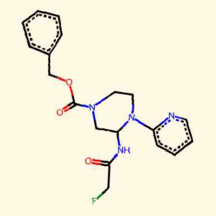 O=C(CF)NC1CN(C(=O)OCc2ccccc2)CCN1c1ccccn1